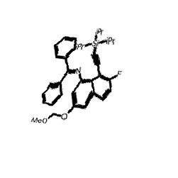 COCOc1cc(N=C(c2ccccc2)c2ccccc2)c2c(C#C[Si](C(C)C)(C(C)C)C(C)C)c(F)ccc2c1